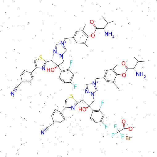 Cc1cc(C[n+]2cnn(C[C@](O)(c3ccc(F)cc3F)[C@@H](C)c3nc(-c4ccc(C#N)cc4)cs3)c2)cc(C)c1OC(=O)[C@@H](N)C(C)C.Cc1cc(C[n+]2cnn(C[C@](O)(c3ccc(F)cc3F)[C@@H](C)c3nc(-c4ccc(C#N)cc4)cs3)c2)cc(C)c1OC(=O)[C@@H](N)C(C)C.O=C([O-])C(F)(F)F.[Br-]